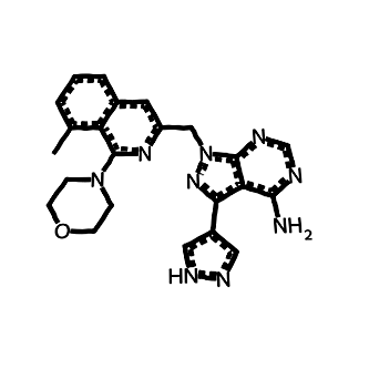 Cc1cccc2cc(Cn3nc(-c4cn[nH]c4)c4c(N)ncnc43)nc(N3CCOCC3)c12